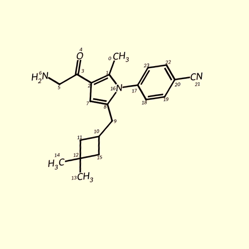 Cc1c(C(=O)CN)cc(CC2CC(C)(C)C2)n1-c1ccc(C#N)cc1